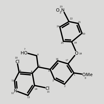 COc1ccc(C(CO)c2c(Cl)cncc2Cl)cc1Oc1ccc([N+](=O)[O-])cc1